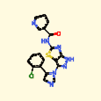 O=C(Nc1nc2[nH]nc(-n3cncc3-c3ccccc3Cl)c2s1)c1cccnc1